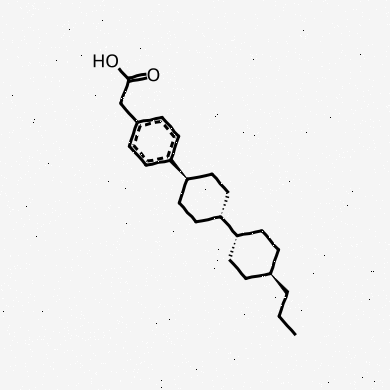 CCC[C@H]1CC[C@H]([C@H]2CC[C@H](c3ccc(CC(=O)O)cc3)CC2)CC1